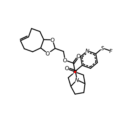 O=C(OCC1OC2CC/C=C/CCC2O1)N1CC2CCC(C1)N2C(=O)c1ccc(SF)nc1